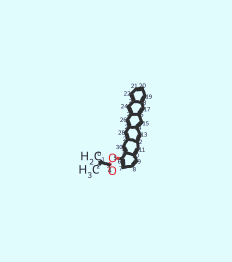 C=C(C)C(=O)Oc1cccc2cc3cc4cc5cc6ccccc6cc5cc4cc3cc12